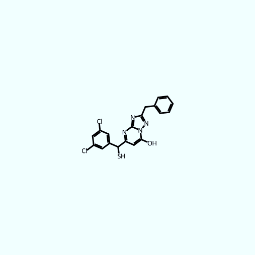 Oc1cc(C(S)c2cc(Cl)cc(Cl)c2)nc2nc(Cc3ccccc3)nn12